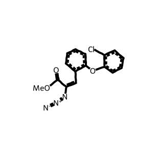 COC(=O)/C(=C\c1ccccc1Oc1ccccc1Cl)N=[N+]=[N-]